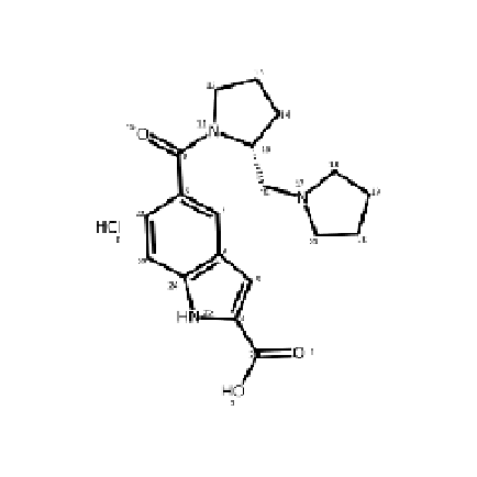 Cl.O=C(O)c1cc2cc(C(=O)N3CCC[C@@H]3CN3CCCC3)ccc2[nH]1